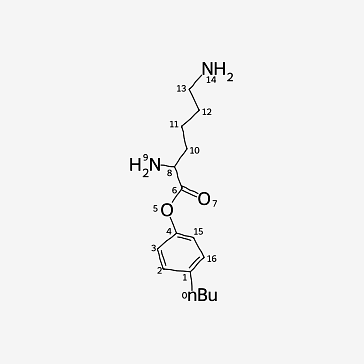 CCCCc1ccc(OC(=O)C(N)CCCCN)cc1